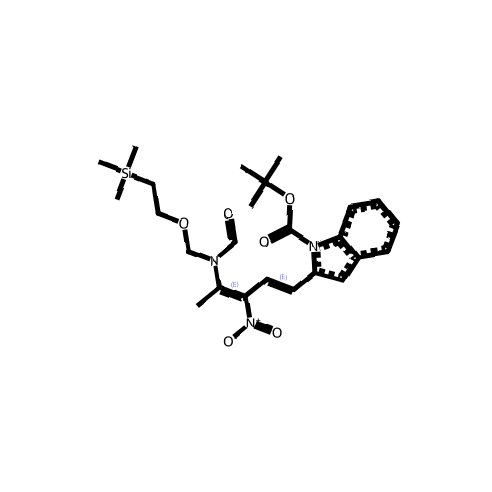 C/C(=C(/C=C/c1cc2ccccc2n1C(=O)OC(C)(C)C)[N+](=O)[O-])N(C=O)COCC[Si](C)(C)C